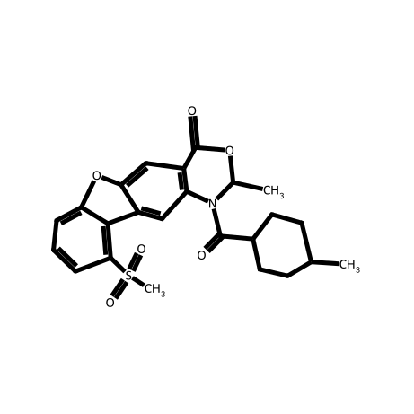 CC1CCC(C(=O)N2c3cc4c(cc3C(=O)OC2C)oc2cccc(S(C)(=O)=O)c24)CC1